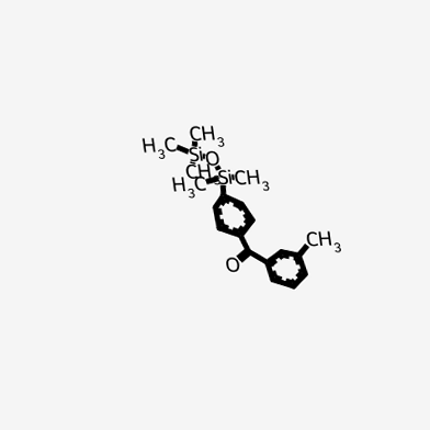 Cc1cccc(C(=O)c2ccc([Si](C)(C)O[Si](C)(C)C)cc2)c1